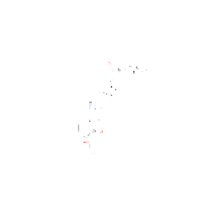 COC(=O)c1cc2c(s1)CN(Cc1ccc3c(c1)OCCCO3)CC2